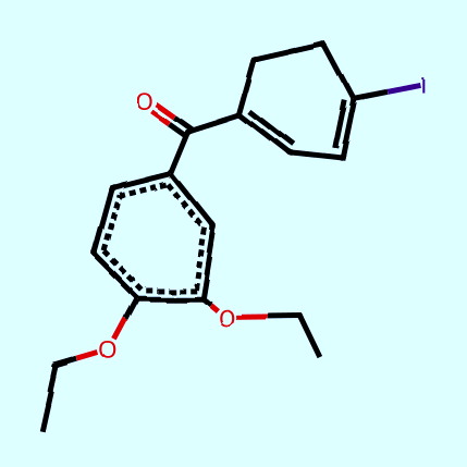 CCOc1ccc(C(=O)C2=CC=C(I)CC2)cc1OCC